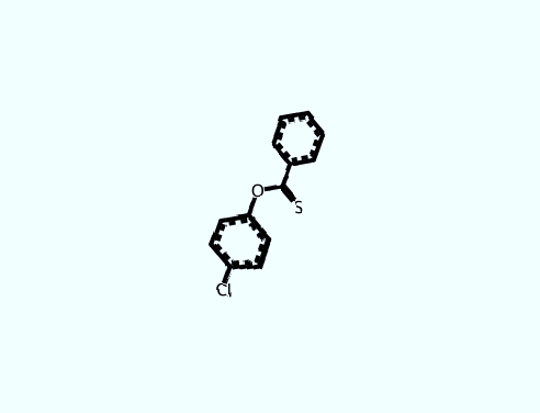 S=C(Oc1ccc(Cl)cc1)c1ccccc1